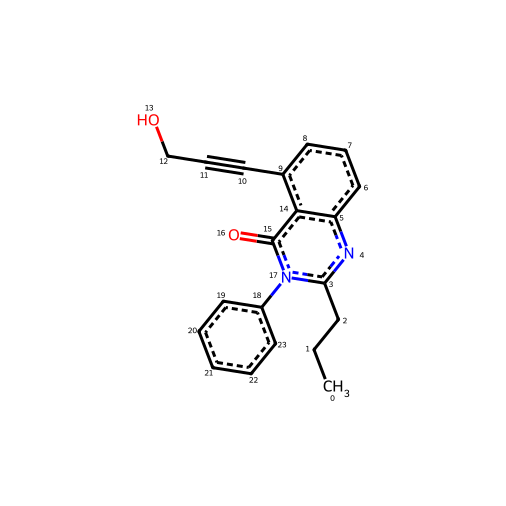 CCCc1nc2cccc(C#CCO)c2c(=O)n1-c1ccccc1